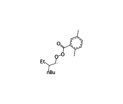 CCCCC([CH]OOC(=O)c1cc(C)ccc1C)CC